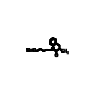 COCCCCCOC(=O)C(C)Cc1ccccc1